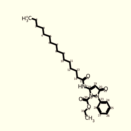 CCCCCCCCCCCCCCCC(=O)Nc1cc(=O)n(-c2ccccc2)n1C(=O)OCC